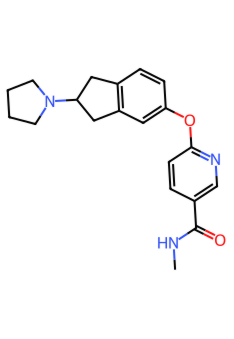 CNC(=O)c1ccc(Oc2ccc3c(c2)CC(N2CCCC2)C3)nc1